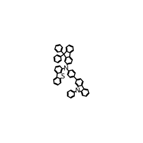 c1ccc(-n2c3ccccc3c3ccc(-c4ccc(N(c5ccc6c(c5)C(c5ccccc5)(c5ccccc5)c5ccccc5-6)c5cccc6c5sc5ccccc56)cc4)cc32)cc1